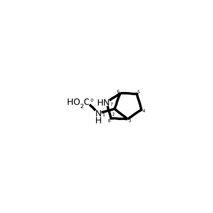 O=C(O)NC1C2CCC1NC2